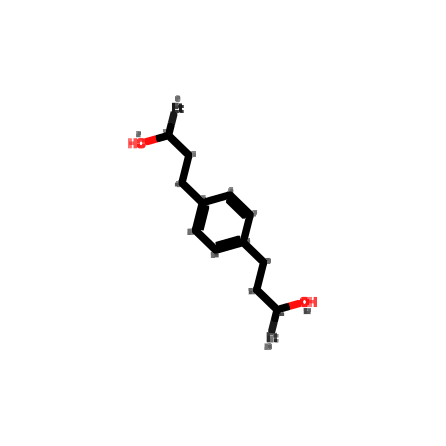 CCC(O)CCc1ccc(CCC(O)CC)cc1